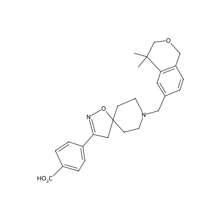 CC1(C)COCc2ccc(CN3CCC4(CC3)CC(c3ccc(C(=O)O)cc3)=NO4)cc21